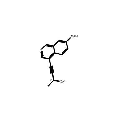 COc1ccc2c(C#C[C@H](C)O)cncc2c1